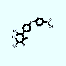 Cc1[nH]c(C)c(-c2ccc(Oc3ccc([S+](C)[O-])cc3)cc2)c(=O)c1Br